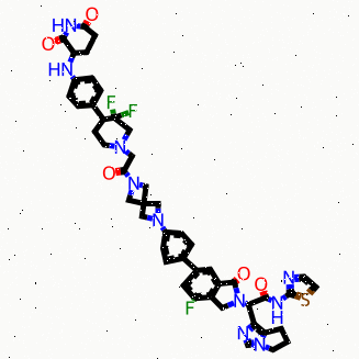 O=C1CCC(Nc2ccc(C3CCN(CC(=O)N4CC5(C4)CN(c4ccc(-c6cc(F)c7c(c6)C(=O)N(C(C(=O)Nc6nccs6)c6ncn8c6CCC8)C7)cc4)C5)CC3(F)F)cc2)C(=O)N1